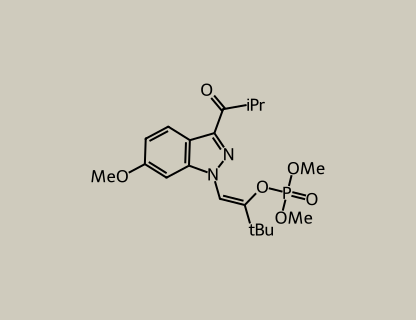 COc1ccc2c(C(=O)C(C)C)nn(C=C(OP(=O)(OC)OC)C(C)(C)C)c2c1